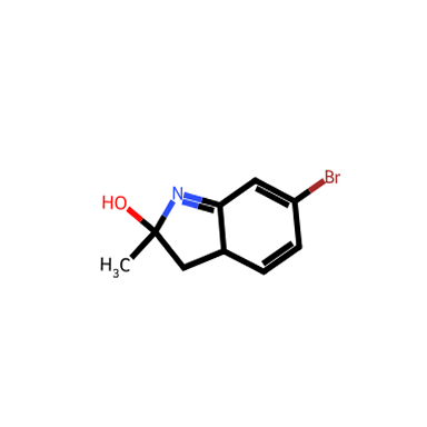 CC1(O)CC2C=CC(Br)=CC2=N1